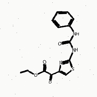 CCOC(=O)C(=O)c1csc(NC(=O)Nc2ccccc2)n1